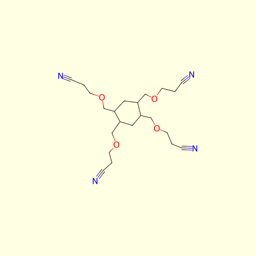 N#CCCOCC1CC(COCCC#N)C(COCCC#N)CC1COCCC#N